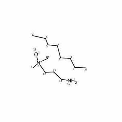 CCCCCCCC.C[N+](C)([O-])CCCN